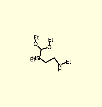 CCNCC[SiH](CC)C(OCC)OCC